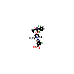 CC[C@H]1C[C@@H](OC(=O)c2c(-c3c(Cl)cccc3Cl)noc2C2CC2)C[C@@H](C)N1c1nc2c(F)cc(C(=O)O)cc2s1